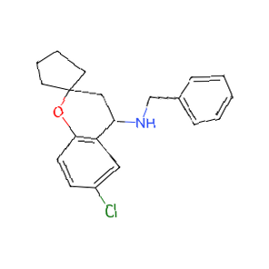 Clc1ccc2c(c1)C(NCc1ccccc1)CC1(CCCC1)O2